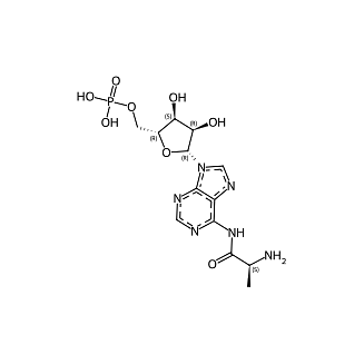 C[C@H](N)C(=O)Nc1ncnc2c1ncn2[C@@H]1O[C@H](COP(=O)(O)O)[C@@H](O)[C@H]1O